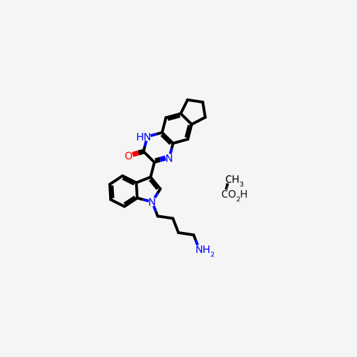 CC(=O)O.NCCCCn1cc(-c2nc3cc4c(cc3[nH]c2=O)CCC4)c2ccccc21